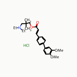 CCN(CC)CC(C)(C)COC(=O)C=Cc1ccc(-c2ccc(OC)c(OC)c2)cc1.Cl